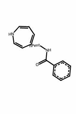 C1=CC=CNC=C1.CCCCCNC(=O)c1ccccc1